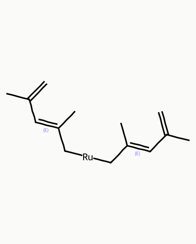 C=C(C)/C=C(\C)[CH2][Ru][CH2]/C(C)=C/C(=C)C